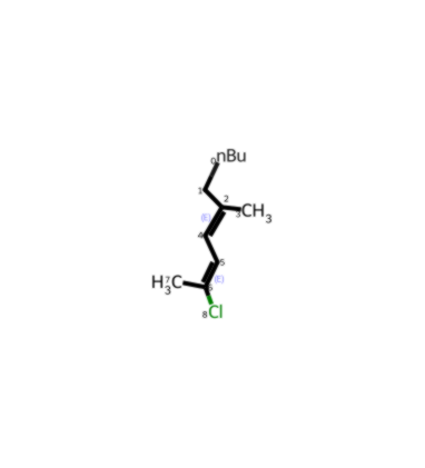 CCCCC/C(C)=C/C=C(\C)Cl